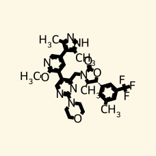 COc1ncc(-c2c(C)n[nH]c2C)cc1-c1cnc(N2CCOCC2)nc1CN1C(=O)O[C@H](c2cc(C)cc(C(F)(F)F)c2)[C@@H]1C